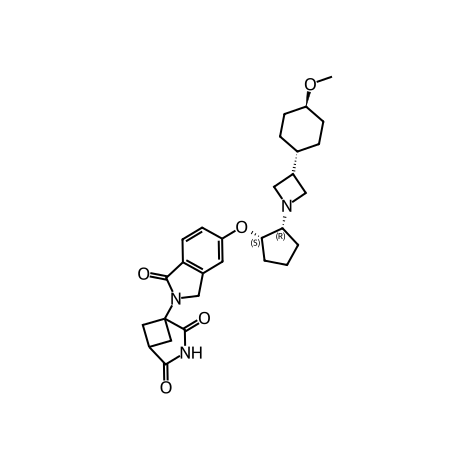 CO[C@H]1CC[C@H](C2CN([C@@H]3CCC[C@@H]3Oc3ccc4c(c3)CN(C35CC(C3)C(=O)NC5=O)C4=O)C2)CC1